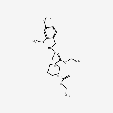 CCOC(=O)[C@@H]1CCC[C@@](CCNCc2ccc(OC)cc2OC)(C(=O)OCC)C1